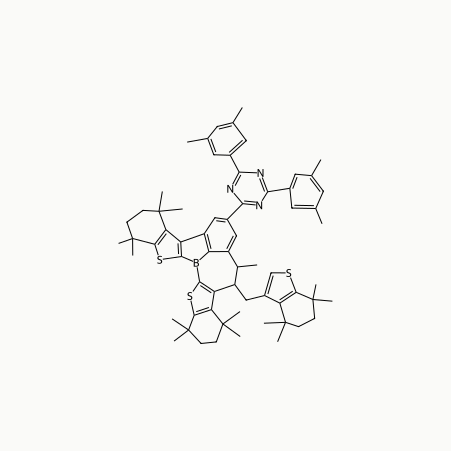 Cc1cc(C)cc(-c2nc(-c3cc(C)cc(C)c3)nc(-c3cc4c5c(c3)C(C)C(Cc3csc6c3C(C)(C)CCC6(C)C)c3c(sc6c3C(C)(C)CCC6(C)C)B5c3sc5c(c3-4)C(C)(C)CCC5(C)C)n2)c1